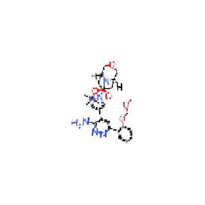 COCOc1ccccc1-c1cc(-c2cnn(C3C[C@H]4COC[C@@H](C3)N4C(=O)OC(C)(C)C)c2)c(N)nn1